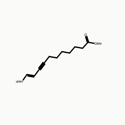 CCCCCCC=CC#CCCCCCCC(=O)OC